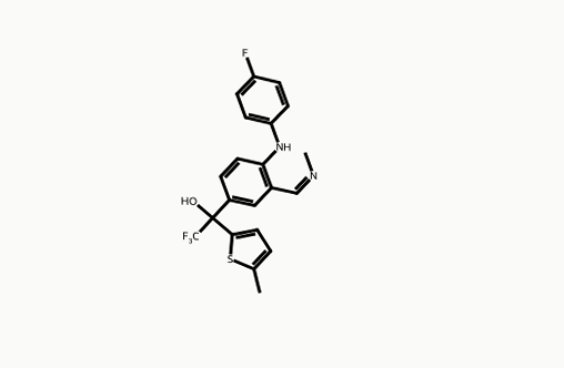 C/N=C\c1cc(C(O)(c2ccc(C)s2)C(F)(F)F)ccc1Nc1ccc(F)cc1